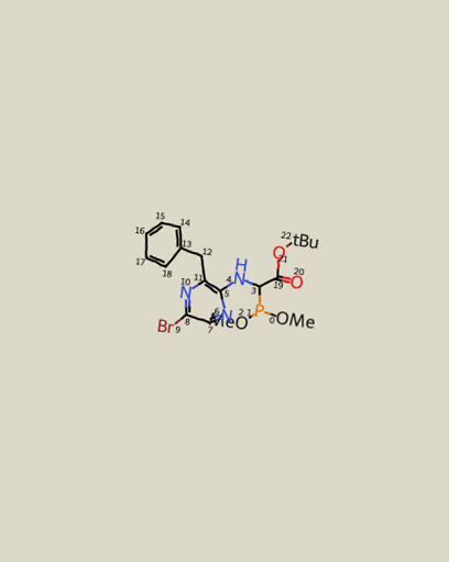 COP(OC)C(Nc1ncc(Br)nc1Cc1ccccc1)C(=O)OC(C)(C)C